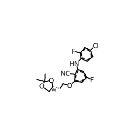 CC1(C)OC[C@@H](CCOc2cc(F)cc(Nc3ccc(Cl)cc3F)c2C#N)O1